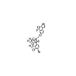 Cc1c(N2C(=O)C(C)(C)N(CCCOc3ccc(-c4ccncc4)c(C(F)(F)F)c3)C2=S)ccc(C#N)c1Cl